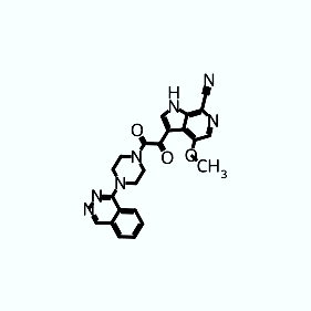 COc1cnc(C#N)c2[nH]cc(C(=O)C(=O)N3CCN(c4nncc5ccccc45)CC3)c12